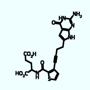 Nc1nc2[nH]c(CCC#Cc3ccsc3C(=O)NC(CCC(=O)O)C(=O)O)cc2c(=O)[nH]1